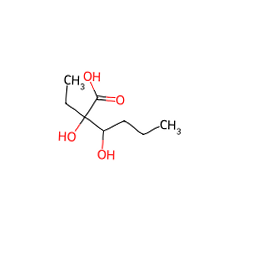 CCCC(O)C(O)(CC)C(=O)O